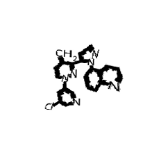 C=C1C=CN(c2cncc(Cl)c2)N=C1c1ccnn1-c1cccc2ncccc12